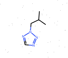 C[C](C)Cn1ncnn1